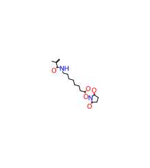 C=C(C)C(=O)NCCCCCCCC(=O)ON1C(=O)CCC1=O